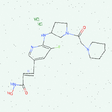 Cl.Cl.O=C(/C=C/c1cnc(NC2CCN(C(=O)CN3CCCCC3)C2)c(F)c1)NO